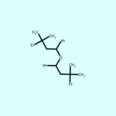 CCC(C)(C)CC(OC(CC(C)(C)CC)C(C)C)C(C)C